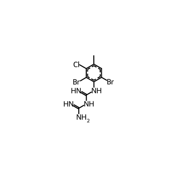 Cc1cc(Br)c(NC(=N)NC(=N)N)c(Br)c1Cl